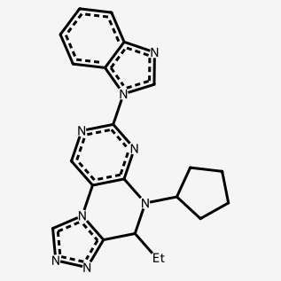 CCC1c2nncn2-c2cnc(-n3cnc4ccccc43)nc2N1C1CCCC1